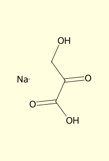 O=C(O)C(=O)CO.[Na]